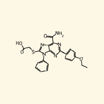 CCOc1ccc(-c2nc(C(N)=O)c3nc(SCC(=O)O)n(-c4ccccc4)c3n2)cc1